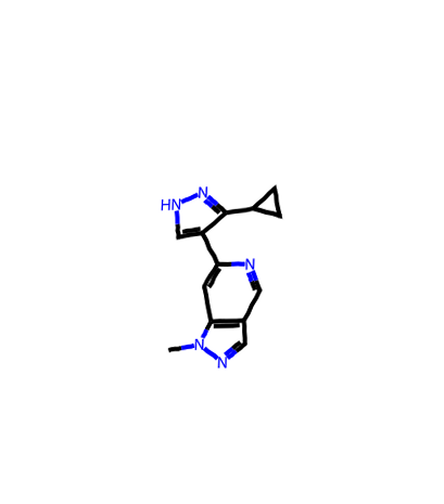 Cn1ncc2cnc(-c3c[nH]nc3C3CC3)cc21